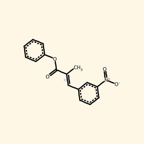 C/C(=C\c1cccc([N+](=O)[O-])c1)C(=O)Oc1ccccc1